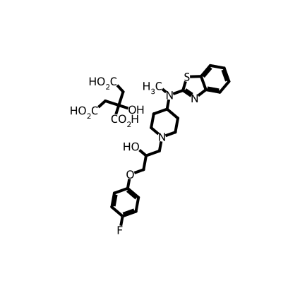 CN(c1nc2ccccc2s1)C1CCN(CC(O)COc2ccc(F)cc2)CC1.O=C(O)CC(O)(CC(=O)O)C(=O)O